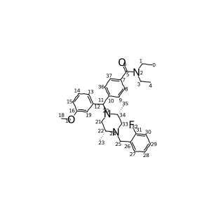 CCN(CC)C(=O)c1ccc([C@H](c2cccc(OC)c2)N2C[C@@H](C)N(Cc3ccccc3F)C[C@H]2C)cc1